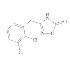 O=c1[nH]c(Cc2cccc(Cl)c2Cl)no1